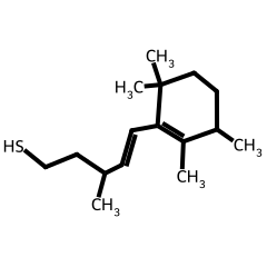 CC1=C(/C=C/C(C)CCS)C(C)(C)CCC1C